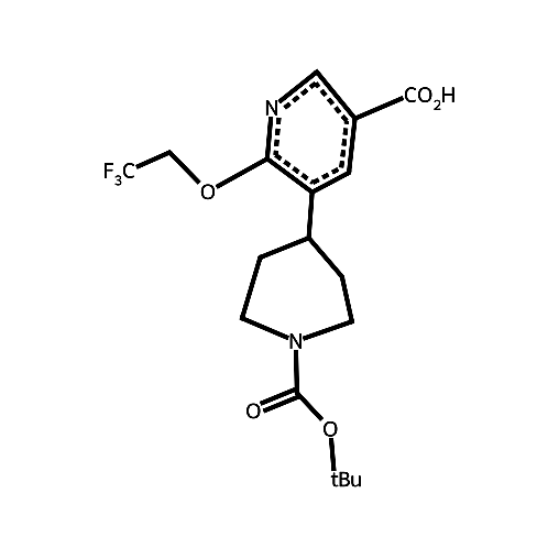 CC(C)(C)OC(=O)N1CCC(c2cc(C(=O)O)cnc2OCC(F)(F)F)CC1